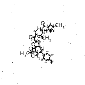 Cc1cc(C(=O)N2CCN(C(=O)c3cc4nc(-c5ccc(F)cc5)cc(C(C)(C)C)c4o3)C(C)(C)C2)[nH]n1